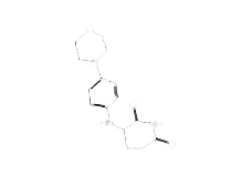 O=C1CCC(Nc2ccc(N3CCOCC3)cc2)C(=O)N1